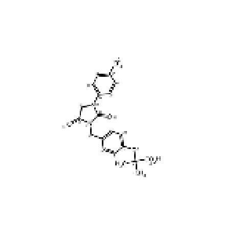 CC(C)(Oc1ccc(CN2C(=O)CN(c3ccc(C(F)(F)F)cc3)C2=O)cc1)C(=O)O